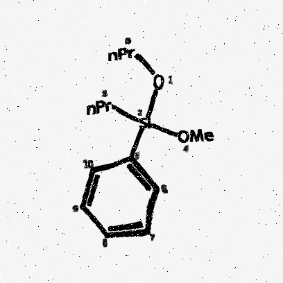 CCCO[Si](CCC)(OC)c1ccccc1